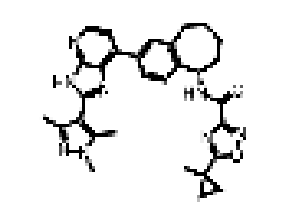 Cc1nn(C)c(C)c1-c1nc2c(-c3ccc4c(c3)CCCC[C@H]4NC(=O)c3noc(C4(C)CC4)n3)ccnc2[nH]1